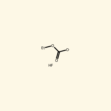 CCOC([O])=O.F